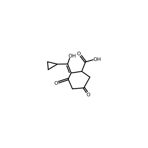 O=C1CC(=O)/C(=C(/O)C2CC2)C(C(=O)O)C1